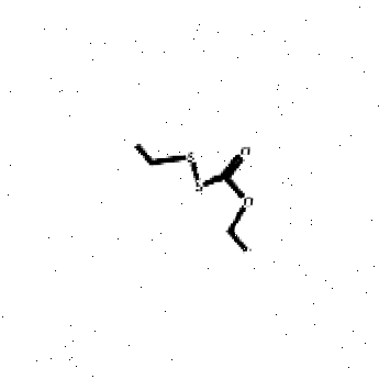 [CH2]COC(=O)SSCC